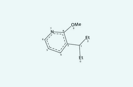 CCC(CC)c1cccnc1OC